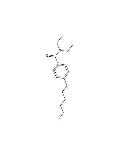 CCCCCCc1ccc(C(=O)N(CC)CC)cc1